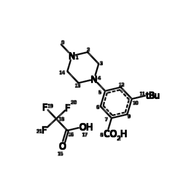 CN1CCN(c2cc(C(=O)O)cc(C(C)(C)C)c2)CC1.O=C(O)C(F)(F)F